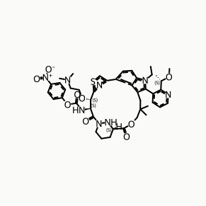 CCn1c(-c2cccnc2[C@H](C)OC)c2c3cc(ccc31)-c1csc(n1)[C@@H](OCCN(C)C)[C@H](NC(=O)Oc1ccc([N+](=O)[O-])cc1)C(=O)N1CCC[C@H](N1)C(=O)OCC(C)(C)C2